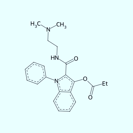 CCC(=O)Oc1c(C(=O)NCCN(C)C)n(-c2ccccc2)c2ccccc12